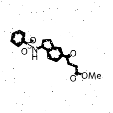 COC(=O)CCC(=O)c1ccc2c(c1)CCC2NS(=O)(=O)c1ccccc1